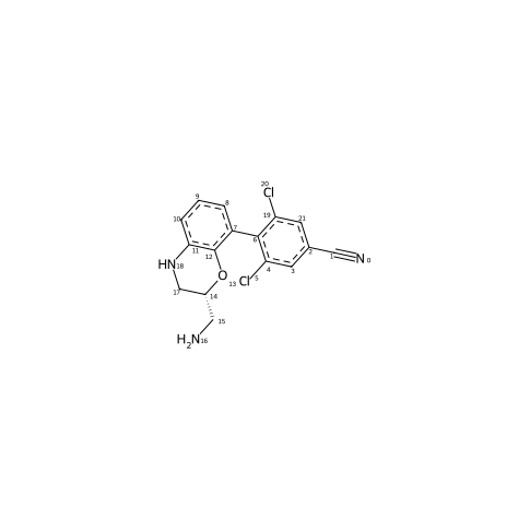 N#Cc1cc(Cl)c(-c2cccc3c2O[C@H](CN)CN3)c(Cl)c1